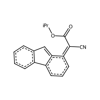 CC(C)OC(=O)C(C#N)=c1cccc2c1=Cc1ccccc1-2